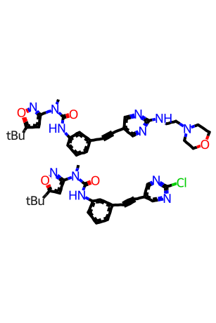 CN(C(=O)Nc1cccc(C#Cc2cnc(Cl)nc2)c1)c1cc(C(C)(C)C)on1.CN(C(=O)Nc1cccc(C#Cc2cnc(NCCN3CCOCC3)nc2)c1)c1cc(C(C)(C)C)on1